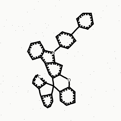 c1ccc(-c2ccc(-n3c4ccccc4c4cc5c(cc43)Oc3ccccc3C53c4ccccc4-c4ccccc43)cc2)cc1